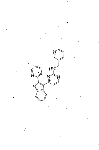 c1ccc(-c2nc3ccccn3c2-c2ccnc(NCc3cccnc3)n2)nc1